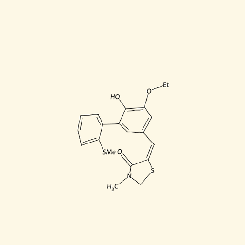 CCOc1cc(C=C2SCN(C)C2=O)cc(-c2ccccc2SC)c1O